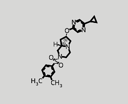 Cc1ccc(S(=O)(=O)N2CCN3C[C@@H](Oc4cnc(C5CC5)cn4)C[C@H]3C2)cc1C